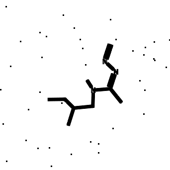 C=N/N=C(/C)N(C)CC(C)CC